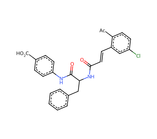 CC(=O)c1ccc(Cl)cc1C=CC(=O)NC(Cc1ccccc1)C(=O)Nc1ccc(C(=O)O)cc1